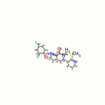 CSc1ncccc1-c1cc2cc(Oc3ccc(F)cc3F)[nH]c2c(=O)n1C